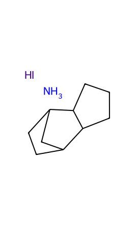 C1CC2C3CCC(C3)C2C1.I.N